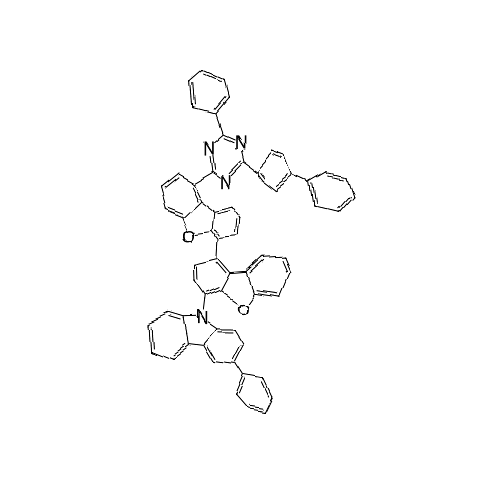 c1ccc(-c2ccc(-c3nc(-c4ccccc4)nc(-c4cccc5oc6c(-c7ccc(-n8c9ccccc9c9cc(-c%10ccccc%10)ccc98)c8oc9ccccc9c78)cccc6c45)n3)cc2)cc1